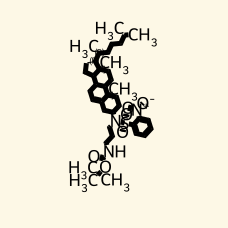 CC(C)CCC[C@@H](C)[C@H]1CCC2C3CC=C4CC(N(CCCNC(=O)OC(C)(C)C)S(=O)(=O)c5ccccc5[N+](=O)[O-])CC[C@]4(C)C3CC[C@@]21C